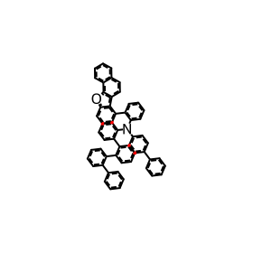 c1ccc(-c2ccc(N(c3ccccc3-c3ccccc3-c3ccccc3-c3ccccc3)c3ccccc3-c3cccc4oc5c6ccccc6ccc5c34)cc2)cc1